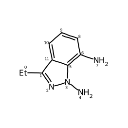 CCc1nn(N)c2c(N)cccc12